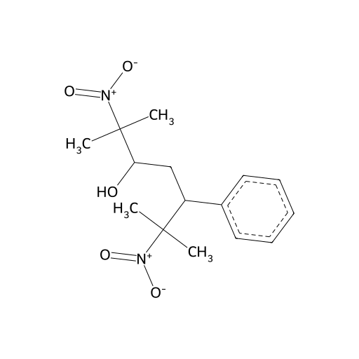 CC(C)(C(O)CC(c1ccccc1)C(C)(C)[N+](=O)[O-])[N+](=O)[O-]